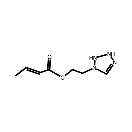 C/C=C/C(=O)OCCN1C=NNN1